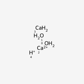 O.O.[Ca+2].[CaH2].[H+]